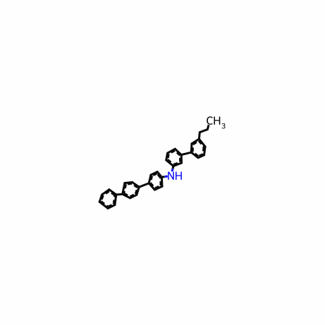 CCCc1cccc(-c2cccc(Nc3ccc(-c4ccc(-c5ccccc5)cc4)cc3)c2)c1